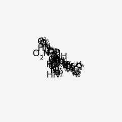 CC(C)Cc1ccccc1[C@@H]1CCCN1C1CC2(CCN(c3ccc(C(=O)NS(=O)(=O)c4ccc(NCC5CCOCC5)c([N+](=O)[O-])c4)c(N4c5cc6cc[nH]c6nc5O[C@@H]5COC[C@H]54)c3)CC2)C1